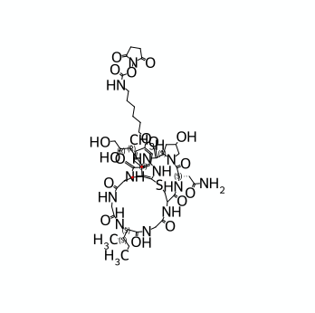 CC[C@H](C)[C@@H]1NC(=O)CNC(=O)C2Cc3c([nH]c4cc(OCCCCCCNC(=O)ON5C(=O)CCC5=O)ccc34)SCC(NC(=O)CNC1=O)C(=O)N[C@@H](CC(N)=O)C(=O)N1CC(O)C[C@H]1C(=O)N[C@@H]([C@@H](C)[C@@H](O)CO)C(=O)N2